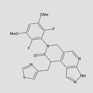 COc1cc(OC)c(F)c(N2Cc3cnc4[nH]ncc4c3C(Cc3cscn3)C2=O)c1F